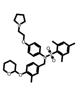 Cc1cc(C)c(S(=O)(=O)N(Cc2ccc(OC3CCCCO3)c(C)c2)c2ccc(OCCN3CCCC3)cc2)c(C)c1